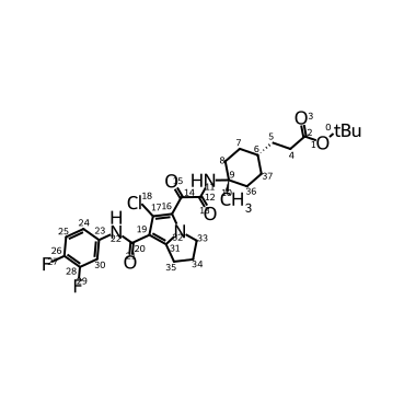 CC(C)(C)OC(=O)CC[C@H]1CC[C@@](C)(NC(=O)C(=O)c2c(Cl)c(C(=O)Nc3ccc(F)c(F)c3)c3n2CCC3)CC1